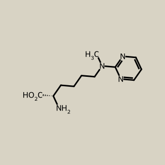 CN(CCCC[C@H](N)C(=O)O)c1ncccn1